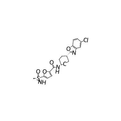 C[S@@](=N)(=O)c1ccc(C(=O)N[C@H]2CC[C@@H](c3nc4cc(Cl)ccc4o3)CC2)o1